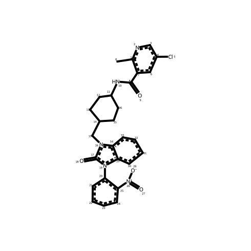 Cc1ncc(Cl)cc1C(=O)NC1CCC(Cn2c(=O)n(-c3ccccc3[N+](=O)[O-])c3ccccc32)CC1